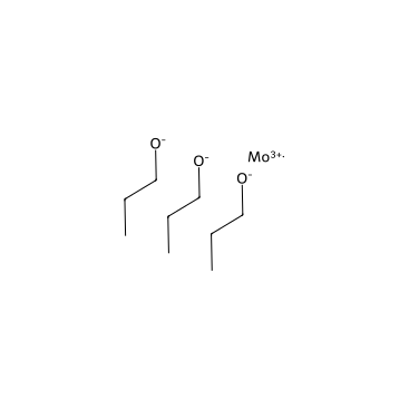 CCC[O-].CCC[O-].CCC[O-].[Mo+3]